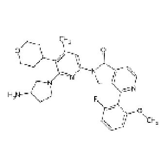 COc1cccc(F)c1-c1nccc2c1CN(c1cc(C)c(C3CCOCC3)c(N3CCC(N)C3)n1)C2=O